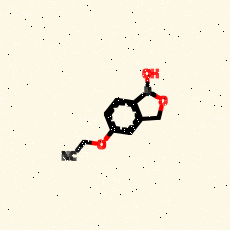 N#CCOc1ccc2c(c1)COB2O